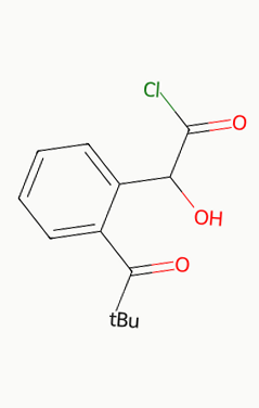 CC(C)(C)C(=O)c1ccccc1C(O)C(=O)Cl